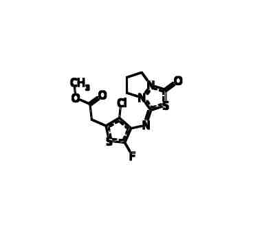 COC(=O)Cc1sc(F)c(N=c2sc(=O)n3n2CCC3)c1Cl